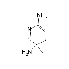 CC1(N)C=NC(N)=CC1